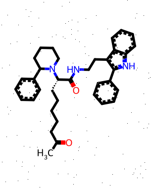 CC(=O)CCCCC[C@@H](C(=O)NCCc1c(-c2ccccc2)[nH]c2ccccc12)N1CCCCC1c1ccccc1